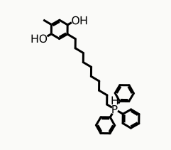 CC1=CC(O)C(CCCCCCCCCC[PH](c2ccccc2)(c2ccccc2)c2ccccc2)=CC1O